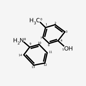 Cc1ccc(O)cc1.Nc1ccccc1